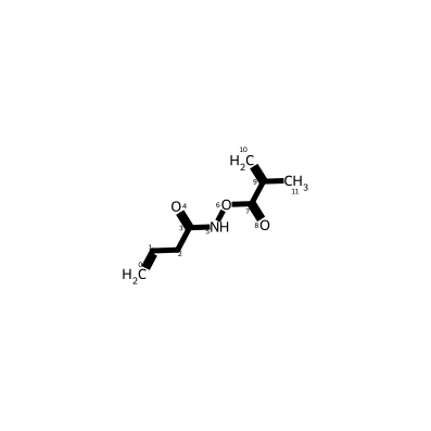 C=CCC(=O)NOC(=O)C(=C)C